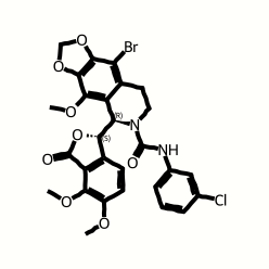 COc1ccc2c(c1OC)C(=O)O[C@@H]2[C@H]1c2c(c(Br)c3c(c2OC)OCO3)CCN1C(=O)Nc1cccc(Cl)c1